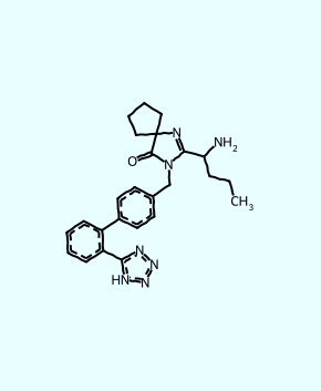 CCCC(N)C1=NC2(CCCC2)C(=O)N1Cc1ccc(-c2ccccc2-c2nnn[nH]2)cc1